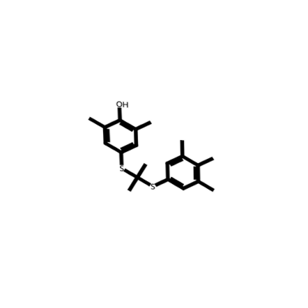 Cc1cc(SC(C)(C)Sc2cc(C)c(O)c(C)c2)cc(C)c1C